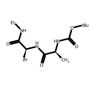 CCNC(=O)[C@@H](NC(=O)[C@H](C)NC(=O)OC(C)(C)C)C(C)C